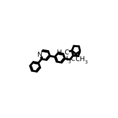 CC1(C)C2CCC1(C)C(Cc1ccc(-c3ccnc(-c4ccccc4)c3)cc1)C2